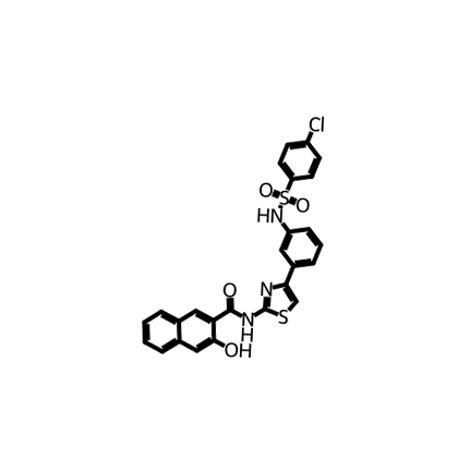 O=C(Nc1nc(-c2cccc(NS(=O)(=O)c3ccc(Cl)cc3)c2)cs1)c1cc2ccccc2cc1O